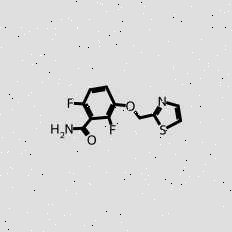 NC(=O)c1c(F)ccc(OCc2nccs2)c1F